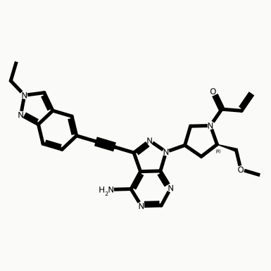 C=CC(=O)N1CC(n2nc(C#Cc3ccc4nn(CC)cc4c3)c3c(N)ncnc32)C[C@@H]1COC